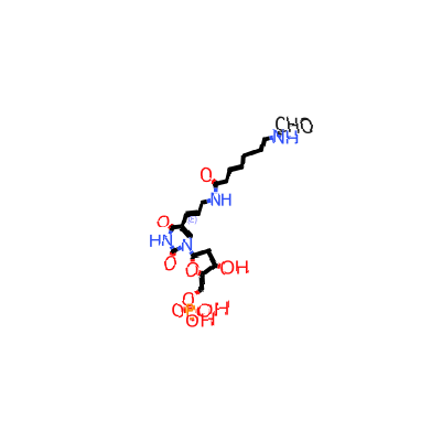 O=CNCCCCCCC(=O)NC/C=C/c1cn(C2CC(O)C(COP(=O)(O)O)O2)c(=O)[nH]c1=O